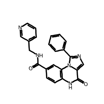 O=C(NCc1cccnc1)c1ccc2[nH]c(=O)c3cnc(-c4ccccc4)n3c2c1